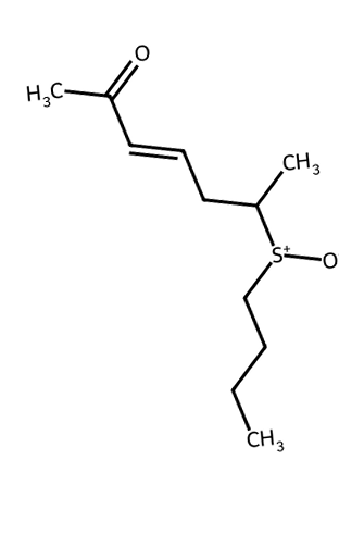 CCCC[S+]([O-])C(C)CC=CC(C)=O